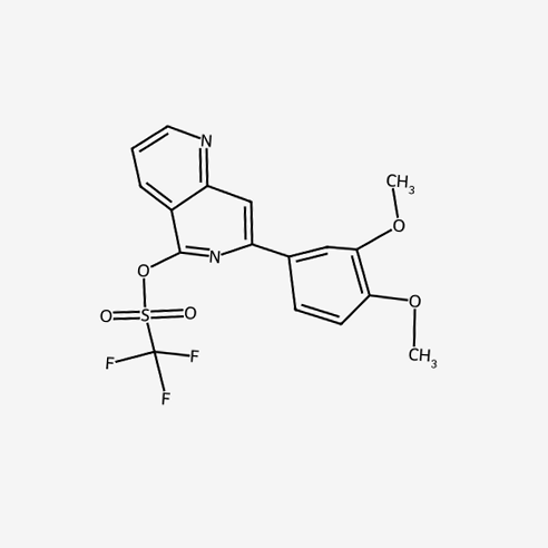 COc1ccc(-c2cc3ncccc3c(OS(=O)(=O)C(F)(F)F)n2)cc1OC